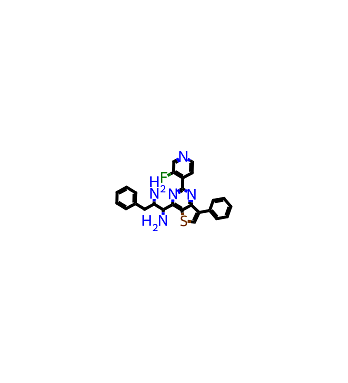 NC(Cc1ccccc1)C(N)c1nc(-c2ccncc2F)nc2c(-c3ccccc3)csc12